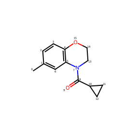 Cc1ccc2c(c1)N(C(=O)C1CC1)CCO2